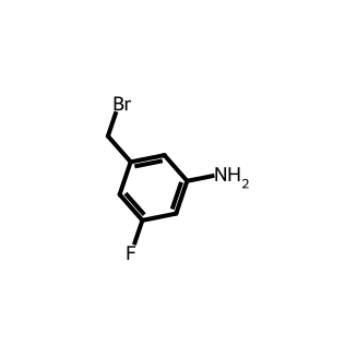 Nc1cc(F)cc(CBr)c1